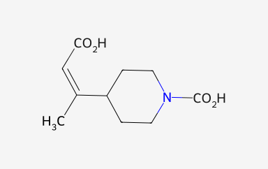 C/C(=C/C(=O)O)C1CCN(C(=O)O)CC1